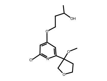 COC1(c2cc(OCCC(C)O)cc(Cl)n2)CCOC1